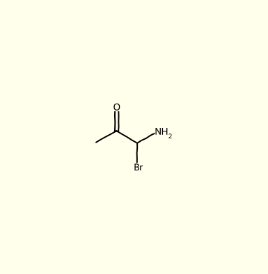 CC(=O)C(N)Br